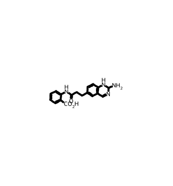 NC1N=Cc2cc(CCC(=O)Nc3ccccc3C(=O)O)ccc2N1